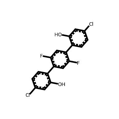 Oc1cc(Cl)ccc1-c1cc(F)c(-c2ccc(Cl)cc2O)cc1F